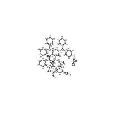 Cc1cc(C)c(NC(C)[n+]2ccccc2C(C)Nc2c(C3CCCCCCC3)cc(C(c3ccccc3)c3ccccc3)cc2C(c2ccccc2)c2ccccc2)c(C)c1.[Cl][Co][Cl]